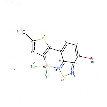 Cc1cc2c(s1)-c1ccc(Br)c3ns[n+](c13)[B-]2(Cl)Cl